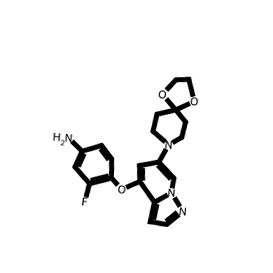 Nc1ccc(Oc2cc(N3CCC4(CC3)OCCO4)cn3nccc23)c(F)c1